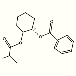 CC(C)C(=O)OC1CCCC[C@@H]1OC(=O)c1ccccc1